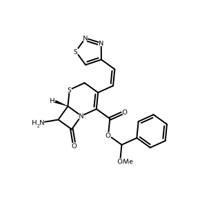 COC(OC(=O)C1=C(/C=C\c2csnn2)CS[C@H]2C(N)C(=O)N12)c1ccccc1